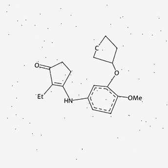 CCC1=C(Nc2ccc(OC)c(OC3CCCC3)c2)CCC1=O